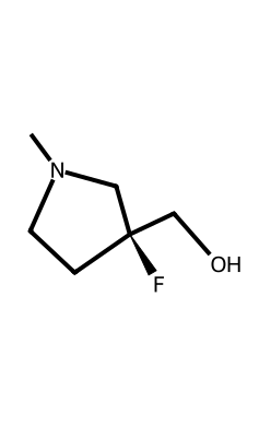 CN1CC[C@@](F)(CO)C1